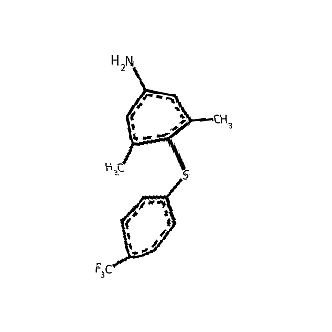 Cc1cc(N)cc(C)c1Sc1ccc(C(F)(F)F)cc1